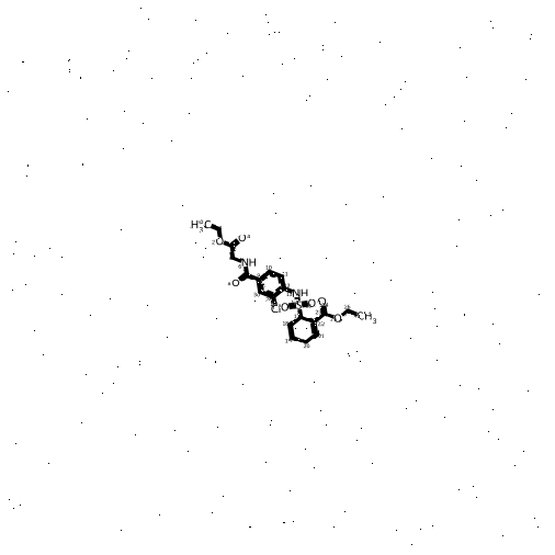 CCOC(=O)CNC(=O)c1ccc(NS(=O)(=O)C2CCCC=C2C(=O)OCC)c(Cl)c1